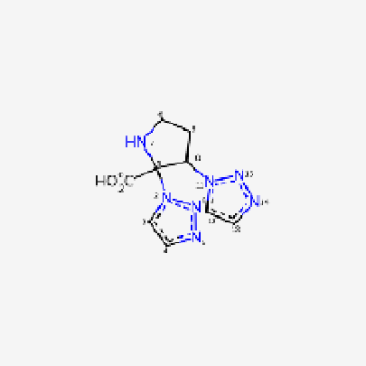 O=C(O)C1(n2ccnn2)NCCC1n1ccnn1